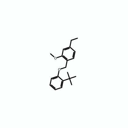 CCc1ccc(COc2ccccc2C(C)(C)C)c(OC)c1